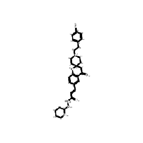 O=C(C=Cc1ccc2c(c1)C(=O)CC1(CCN(CCc3ccc(F)cc3)CC1)O2)NOC1CCCCO1